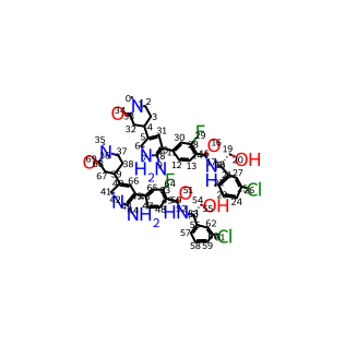 CN1CCC(c2cnc(N)c(-c3ccc(C(=O)N[C@H](CO)c4cccc(Cl)c4)c(F)c3)c2)CC1=O.CN1CCC(c2cnc(N)c(-c3ccc(C(=O)N[C@H](CO)c4cccc(Cl)c4)c(F)c3)c2)CC1=O